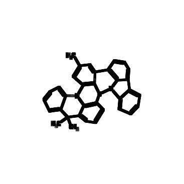 Cc1cc2c3c(c1)N1c4ccccc4C(C)(C)c4cccc(c41)B3n1c3ccccc3c3cccc-2c31